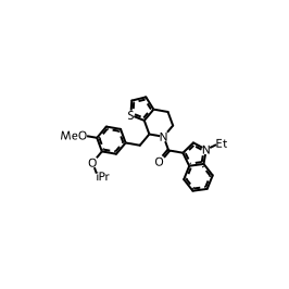 CCn1cc(C(=O)N2CCc3ccsc3C2Cc2ccc(OC)c(OC(C)C)c2)c2ccccc21